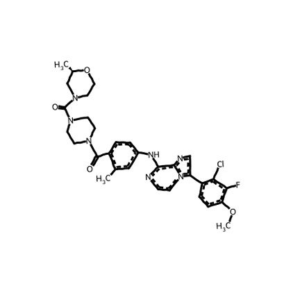 COc1ccc(-c2cnc3c(Nc4ccc(C(=O)N5CCN(C(=O)N6CCO[C@H](C)C6)CC5)c(C)c4)nccn23)c(Cl)c1F